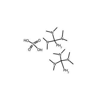 CN(C)C(P)(N(C)C)N(C)C.CN(C)C(P)(N(C)C)N(C)C.O=S(=O)(O)O